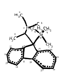 CC(P(C)C)C1([Si](C)(C)C)c2ccccc2-c2ccccc21